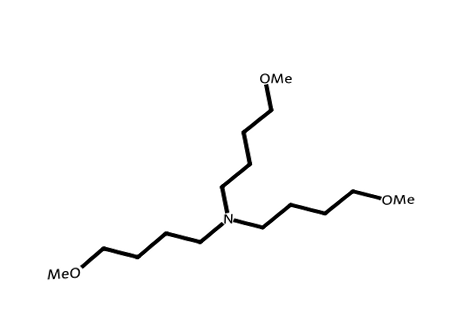 COCCCCN(CCCCOC)CCCCOC